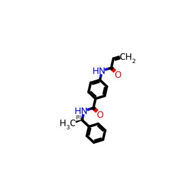 C=CC(=O)Nc1ccc(C(=O)N[C@H](C)c2ccccc2)cc1